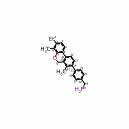 CCc1ccc2c(c1C)OCc1c-2ccc(-c2ccc(CP)cc2)c1C